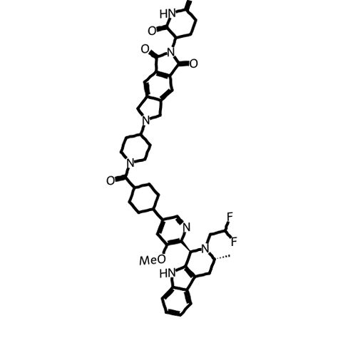 COc1cc(C2CCC(C(=O)N3CCC(N4Cc5cc6c(cc5C4)C(=O)N(C4CCC(=O)NC4=O)C6=O)CC3)CC2)cnc1[C@@H]1c2[nH]c3ccccc3c2C[C@@H](C)N1CC(F)F